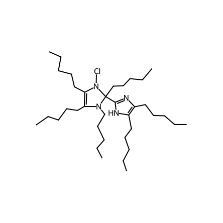 CCCCCC1=C(CCCCC)N(CCCCC)C(CCCCC)(c2nc(CCCCC)c(CCCCC)[nH]2)N1Cl